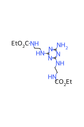 CCOC(=O)NCCNc1nc(N)nc(NCCNC(=O)OCC)n1